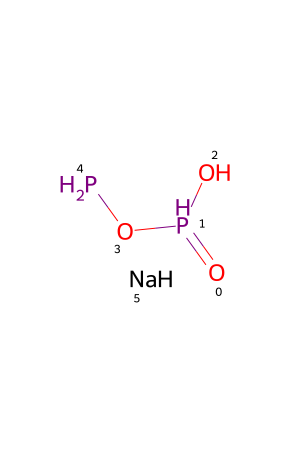 O=[PH](O)OP.[NaH]